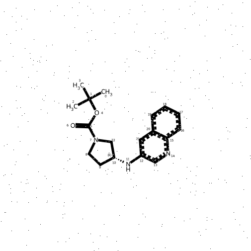 CC(C)(C)OC(=O)N1CC[C@@H](Nc2cnc3ccccc3c2)C1